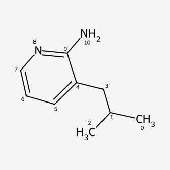 CC(C)Cc1cccnc1N